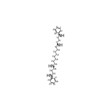 c1ccc(NCCCNCCCCCCCCNCCCNc2ccccc2)cc1